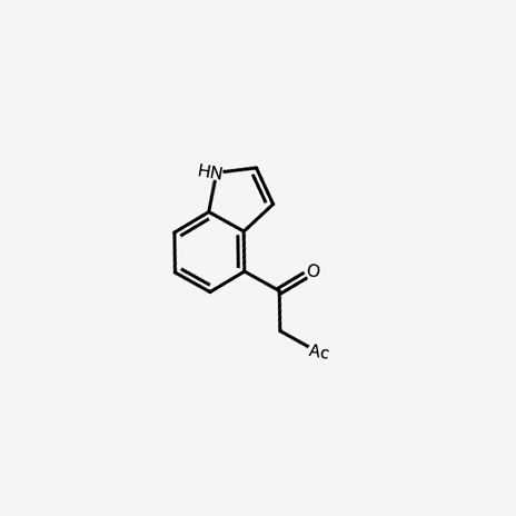 CC(=O)CC(=O)c1cccc2[nH]ccc12